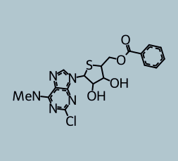 CNc1nc(Cl)nc2c1ncn2C1SC(COC(=O)c2ccccc2)C(O)C1O